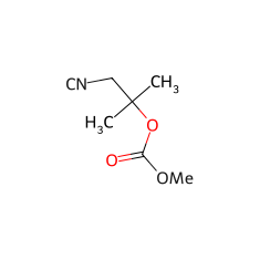 [C-]#[N+]CC(C)(C)OC(=O)OC